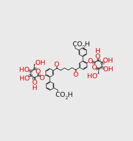 O=C(O)Cc1cccc(-c2cc(C(=O)CCCCC(=O)c3ccc(O[C@@H]4O[C@H](CO)[C@@H](O)[C@H](O)[C@@H]4O)c(-c4cccc(CC(=O)O)c4)c3)ccc2O[C@@H]2O[C@H](CO)[C@@H](O)[C@H](O)[C@@H]2O)c1